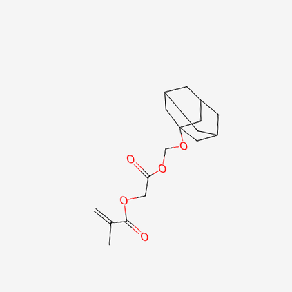 C=C(C)C(=O)OCC(=O)OCOC12CC3CC(CC(C3)C1)C2